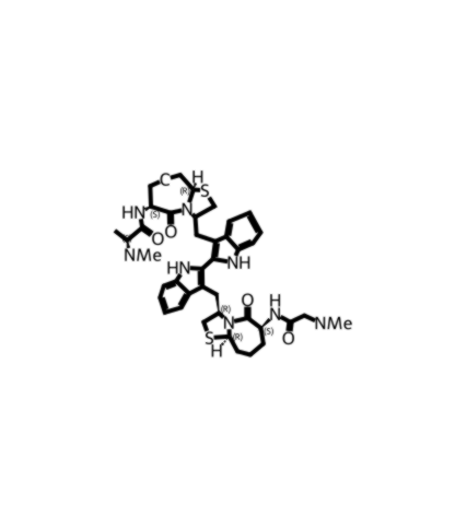 CNCC(=O)N[C@H]1CCC[C@H]2SC[C@@H](Cc3c(-c4[nH]c5ccccc5c4CC4CS[C@@H]5CCC[C@H](NC(=O)[C@H](C)NC)C(=O)N45)[nH]c4ccccc34)N2C1=O